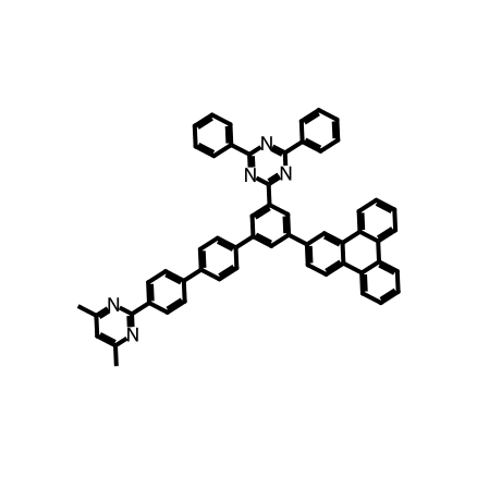 Cc1cc(C)nc(-c2ccc(-c3ccc(-c4cc(-c5ccc6c7ccccc7c7ccccc7c6c5)cc(-c5nc(-c6ccccc6)nc(-c6ccccc6)n5)c4)cc3)cc2)n1